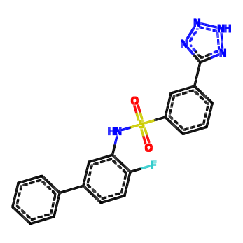 O=S(=O)(Nc1cc(-c2ccccc2)ccc1F)c1cccc(-c2nn[nH]n2)c1